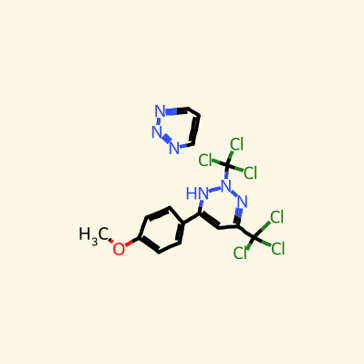 COc1ccc(C2=CC(C(Cl)(Cl)Cl)=NN(C(Cl)(Cl)Cl)N2)cc1.c1cnnnc1